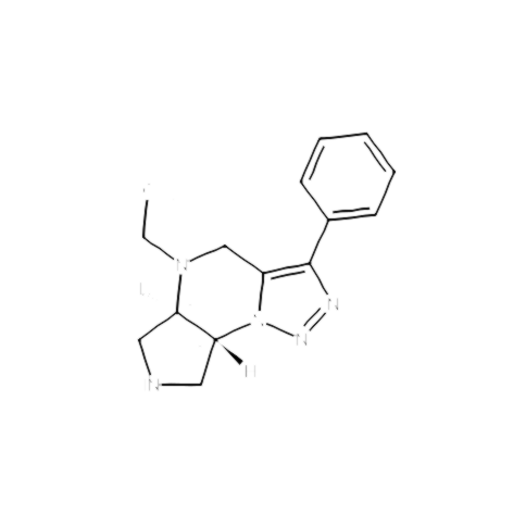 CCN1Cc2c(-c3ccccc3)nnn2[C@@H]2CNC[C@H]21